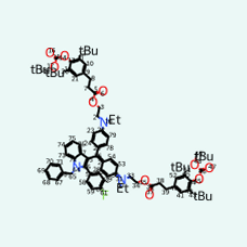 CCN(CCOC(=O)CCc1cc(C(C)(C)C)c(OC(=O)OC(C)(C)C)c(C(C)(C)C)c1)c1ccc(C(=C2C=CC(=[N+](CC)CCOC(=O)CCc3cc(C(C)(C)C)c(OC(=O)OC(C)(C)C)c(C(C)(C)C)c3)C=C2)c2c(-c3ccc(F)cc3)n(Cc3ccccc3)c3ccccc23)cc1